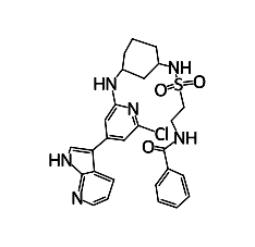 O=C(NCCS(=O)(=O)NC1CCCC(Nc2cc(-c3c[nH]c4ncccc34)cc(Cl)n2)C1)c1ccccc1